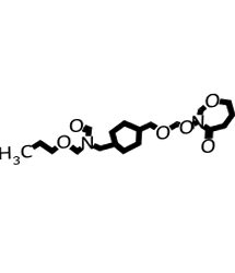 CCCOCN(C=O)CC1CCC(COCON2COCCCC2=O)CC1